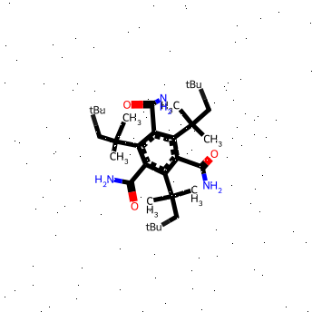 CC(C)(C)CC(C)(C)c1c(C(N)=O)c(C(C)(C)CC(C)(C)C)c(C(N)=O)c(C(C)(C)CC(C)(C)C)c1C(N)=O